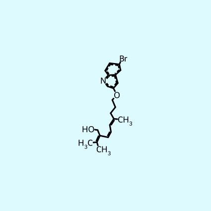 CC(C)=C(/C=C\C=C(/C)CCCOc1cnc2ccc(Br)cc2c1)CO